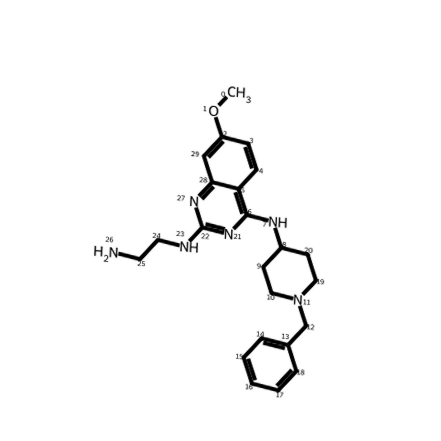 COc1ccc2c(NC3CCN(Cc4ccccc4)CC3)nc(NCCN)nc2c1